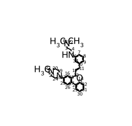 CN(C)CCNc1cccc(C=CC(=O)c2cc(N3CCN(C)CC3)ccc2-c2ccccc2)c1